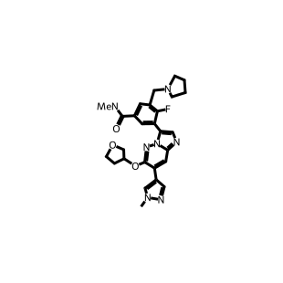 CNC(=O)c1cc(CN2CCCC2)c(F)c(-c2cnc3cc(-c4cnn(C)c4)c(OC4CCOC4)nn23)c1